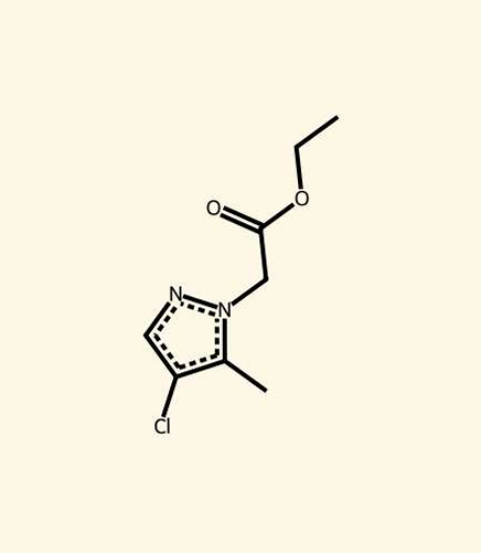 CCOC(=O)Cn1ncc(Cl)c1C